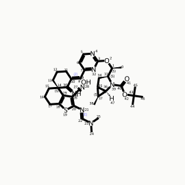 C[C@H](Oc1nccc(/C(O)=C2\CCC[C@@]3(CCCc4sc(/N=C/N(C)C)c(C#N)c43)C2=N)n1)[C@@H]1CC2[C@H]([C@H]2C)N1C(=O)OC(C)(C)C